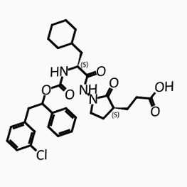 O=C(O)CC[C@H]1CCN(NC(=O)[C@H](CC2CCCCC2)NC(=O)OC(Cc2cccc(Cl)c2)c2ccccc2)C1=O